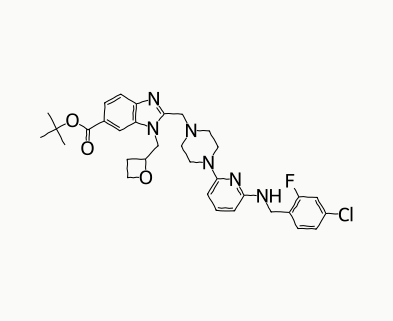 CC(C)(C)OC(=O)c1ccc2nc(CN3CCN(c4cccc(NCc5ccc(Cl)cc5F)n4)CC3)n(CC3CCO3)c2c1